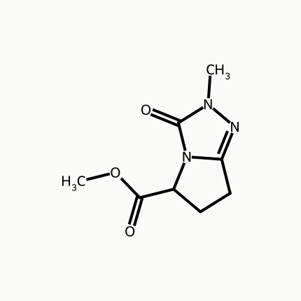 COC(=O)C1CCc2nn(C)c(=O)n21